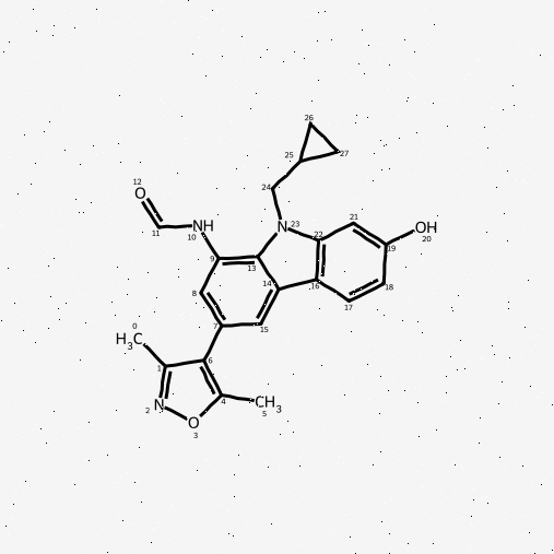 Cc1noc(C)c1-c1cc(NC=O)c2c(c1)c1ccc(O)cc1n2CC1CC1